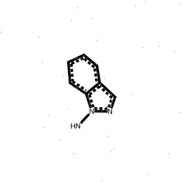 [NH]n1ncc2ccccc21